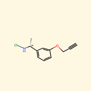 C#CCOc1cccc([C@@H](C)NCl)c1